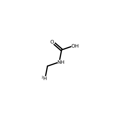 [2H]CNC(=O)O